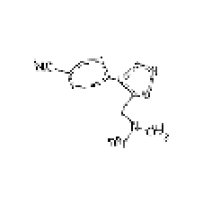 CCCN(C)Cc1cncn1-c1ccc(C#N)cc1